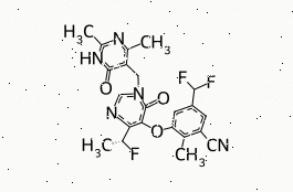 Cc1nc(C)c(Cn2cnc([C@@H](C)F)c(Oc3cc(C(F)F)cc(C#N)c3C)c2=O)c(=O)[nH]1